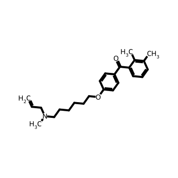 C=CCN(C)CCCCCCOc1ccc(C(=O)c2cccc(C)c2C)cc1